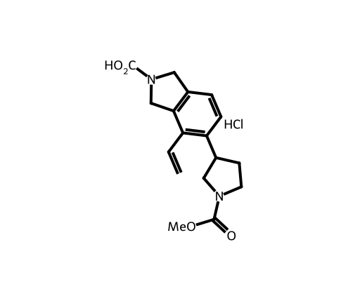 C=Cc1c(C2CCN(C(=O)OC)C2)ccc2c1CN(C(=O)O)C2.Cl